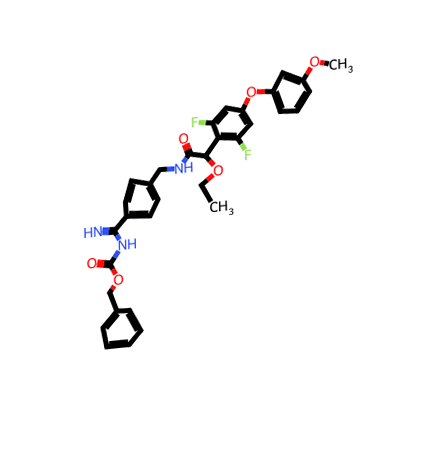 CCOC(C(=O)NCc1ccc(C(=N)NC(=O)OCc2ccccc2)cc1)c1c(F)cc(Oc2cccc(OC)c2)cc1F